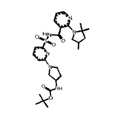 CC1CN(c2ncccc2C(=O)NS(=O)(=O)c2cccc(N3CCC(NC(=O)OC(C)(C)C)C3)n2)C(C)(C)C1